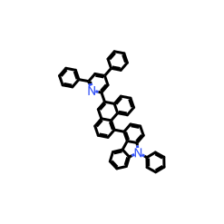 c1ccc(-c2cc(-c3ccccc3)nc(-c3cc4cccc(-c5cccc6c5c5ccccc5n6-c5ccccc5)c4c4ccccc34)c2)cc1